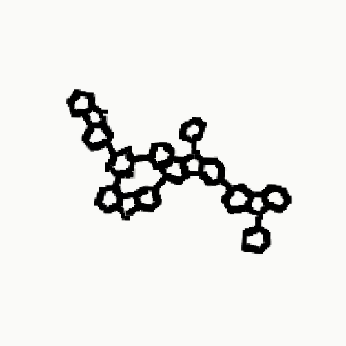 c1ccc(-c2nc(-c3ccc4c(c3)oc3ccccc34)nc(-c3cccc4oc5ccc(-c6ccc7c(c6)c6cc(-c8ccc9c(c8)c8ccccc8n9-c8ccccc8)ccc6n7-c6ccccc6)cc5c34)n2)cc1